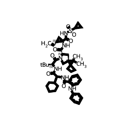 C=C[C@@H]1C[C@]1(NC(=O)[C@@H]1C[C@@]2(CN1C(=O)[C@@H](NC(=O)C(NC(=O)c1ccccc1Nc1ccccc1)C1CCCCC1)C(C)(C)C)C(C)(C)C21CCC1)C(=O)NS(=O)(=O)C1CC1